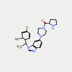 CC(C1C=CC(Cl)=CC1C#N)n1cnc2ccc(N3CCN(C(=O)[C@H]4CCCN4)CC3)cc21